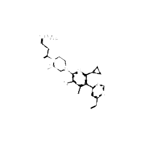 C=Cc1cc(-c2c(C3CC3)nc(N3CCN(C(=O)CCOC)[C@H](C)C3)c(N)c2C)ncn1